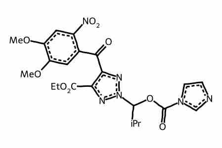 CCOC(=O)c1nn(C(OC(=O)n2ccnc2)C(C)C)nc1C(=O)c1cc(OC)c(OC)cc1[N+](=O)[O-]